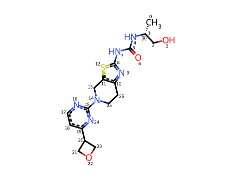 C[C@H](CO)NC(=O)Nc1nc2c(s1)CN(c1nccc(C3COC3)n1)CC2